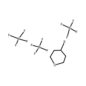 F[B-](F)(F)F.F[B-](F)(F)F.F[B-](F)(F)F.[K][CH]1CCOCC1